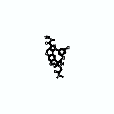 COc1cc2c(cc1-c1c(C)nn(CC(=O)N(C)C)c1C)-c1c(c(C(=O)N(C)C(C)(C)C)nn1-c1cc(Cl)cc(Cl)c1)CO2